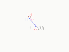 CC1=C(/C=C/C=C/C=C/C=C/C(=O)Nc2ccc(O)cc2)C(C)(C)CCC1=O